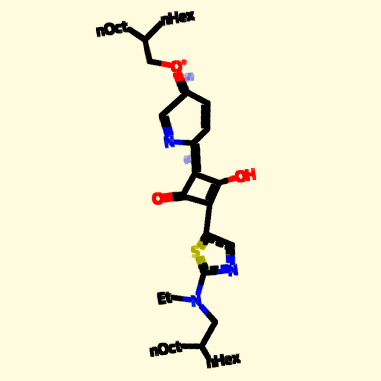 CCCCCCCCC(CCCCCC)C/[O+]=C1C=C/C(=C2/C(=O)C(c3cnc(N(CC)CC(CCCCCC)CCCCCCCC)s3)=C2O)N=C/1